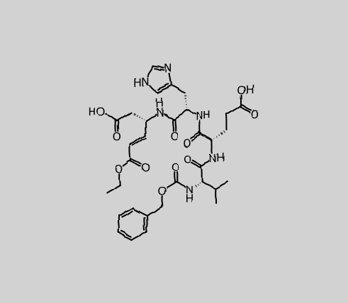 CCOC(=O)/C=C/[C@H](CC(=O)O)NC(=O)[C@H](Cc1c[nH]cn1)NC(=O)[C@H](CCC(=O)O)NC(=O)[C@@H](NC(=O)OCc1ccccc1)C(C)C